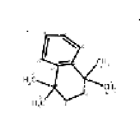 CC1(C)CCC(C)(C)c2ccc[c]c21